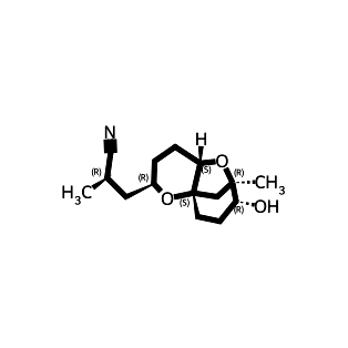 C[C@@H](C#N)C[C@H]1CC[C@@H]2O[C@]3(C)C[C@]2(CC[C@H]3O)O1